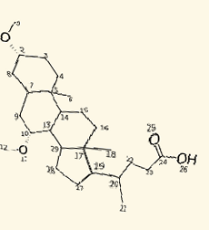 CO[C@@H]1CCC2(C)C(C1)C[C@@H](OC)C1C2CCC2(C)C(C(C)CCC(=O)O)CCC12